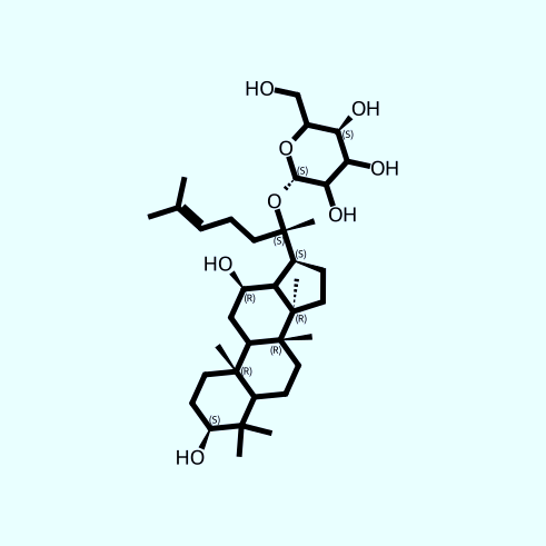 CC(C)=CCC[C@](C)(O[C@@H]1OC(CO)[C@@H](O)C(O)C1O)[C@H]1CC[C@]2(C)C1[C@H](O)CC1[C@@]3(C)CC[C@H](O)C(C)(C)C3CC[C@]12C